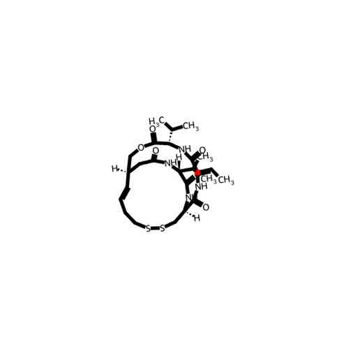 C/C=C1\NC(=O)[C@H]2CSSCC/C=C/[C@@H](COC(=O)[C@H](C(C)C)NC1=O)CC(=O)N[C@H](C(C)C)C(=O)N2